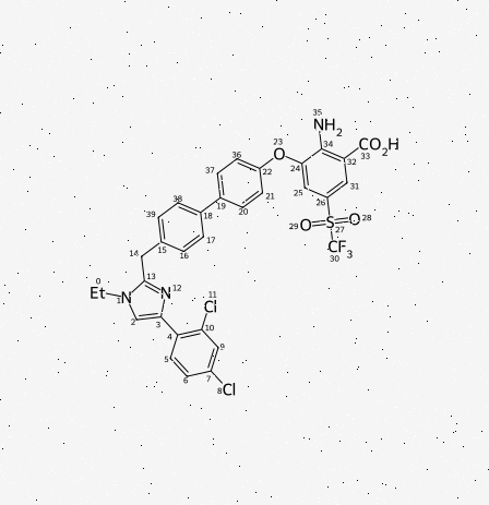 CCn1cc(-c2ccc(Cl)cc2Cl)nc1Cc1ccc(-c2ccc(Oc3cc(S(=O)(=O)C(F)(F)F)cc(C(=O)O)c3N)cc2)cc1